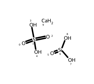 O=S(=O)(O)O.O=[Si](O)O.[CaH2]